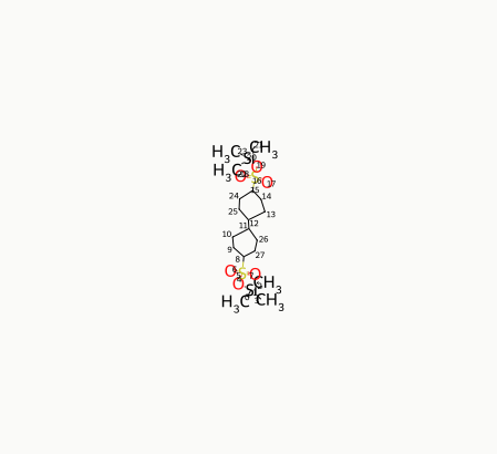 C[Si](C)(C)OS(=O)(=O)C1CCC(C2CCC(S(=O)(=O)O[Si](C)(C)C)CC2)CC1